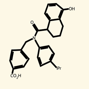 CC(C)c1ccc(N(Cc2ccc(C(=O)O)cc2)C(=O)C2CCCc3c(O)cccc32)cc1